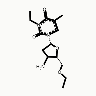 CCOC[C@H]1O[C@@H](n2cc(C)c(=O)n(CC)c2=O)CC1N